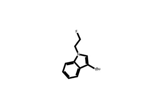 CC(C)(C)c1cn(CCF)c2ccccc12